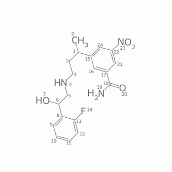 CC(CCNCC(O)c1ccccc1F)c1cc(C(N)=O)cc([N+](=O)[O-])c1